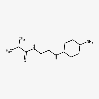 CC(C)C(=O)NCCNC1CCC(N)CC1